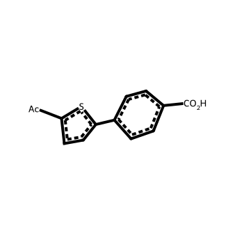 CC(=O)c1ccc(-c2ccc(C(=O)O)cc2)s1